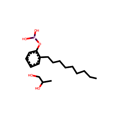 CC(O)CO.CCCCCCCCCc1ccccc1OP(O)O